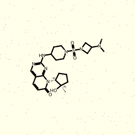 CN(C)C1CN(S(=O)(=O)N2CCC(Nc3ncc4ccc(=O)n([C@@H]5CCC[C@@]5(C)O)c4n3)CC2)C1